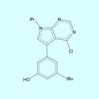 CC(C)n1cc(-c2cc(O)cc(C(C)(C)C)c2)c2c(Cl)ncnc21